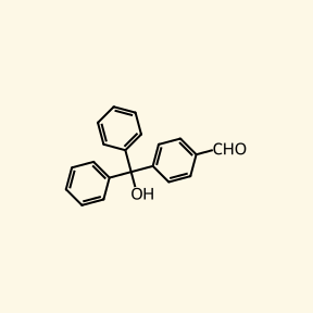 O=Cc1ccc(C(O)(c2ccccc2)c2ccccc2)cc1